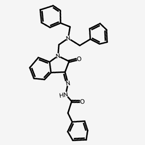 O=C(Cc1ccccc1)N/N=C1/C(=O)N(CN(Cc2ccccc2)Cc2ccccc2)c2ccccc21